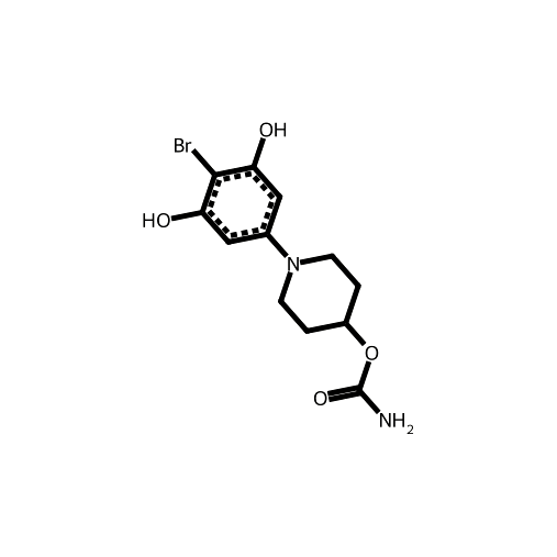 NC(=O)OC1CCN(c2cc(O)c(Br)c(O)c2)CC1